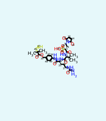 CC(C)[C@H](NC(=O)[C@@H](CCN1C(=O)C=CC1=O)S(=O)(=O)O)C(=O)N[C@@H](CCCNC(N)=O)C(=O)Nc1ccc(COC(=O)C(C)(C)SS)cc1